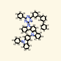 c1ccc(-c2cccc(-c3cccc(-c4nc(-c5ccccc5)nc(-n5c6ccccc6c6c5ccc5c7ccccc7n(-c7ccc8c(c7)c7ccccc7n8-c7ccccc7)c56)n4)c3)c2)cc1